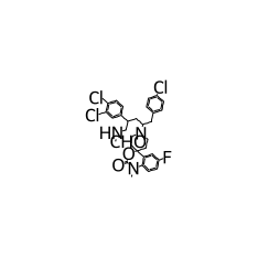 CN1C(=O)OC2(CCN(C(Cc3ccc(Cl)cc3)CC(CNC=O)c3ccc(Cl)c(Cl)c3)CC2)c2cc(F)ccc21